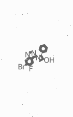 O[C@H]1CN(c2ncnc3cc(Br)c(F)cc23)[C@@H]1c1ccccc1